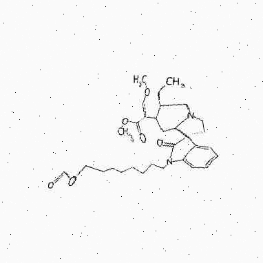 CC[C@H]1CN2CC[C@]3(C(=O)N(CCCCCCCCOC=O)c4ccccc43)C2CC1/C(=C\OC)C(=O)OC